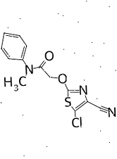 CN(C(=O)COc1nc(C#N)c(Cl)s1)c1ccccc1